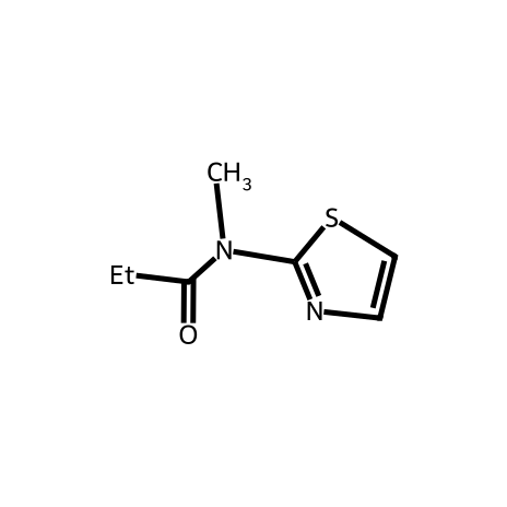 CCC(=O)N(C)c1nccs1